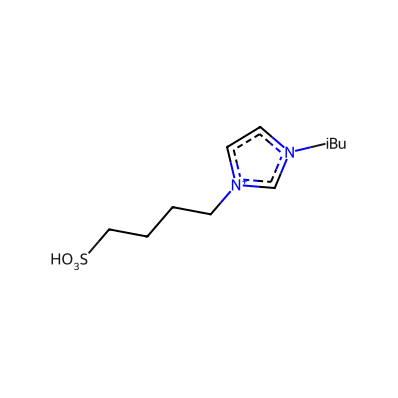 CCC(C)n1cc[n+](CCCCS(=O)(=O)O)c1